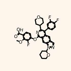 COc1c(C(=O)O)ccc(Oc2nc(C3CCOCC3)c(-c3ccc(F)c(F)c3)c3cc4cnn(C5CCCCO5)c4cc23)c1F